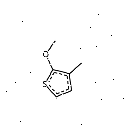 COc1s[c]cc1C